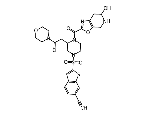 C#Cc1ccc2cc(S(=O)(=O)N3CCN(C(=O)c4nc5c(o4)CNC(O)C5)C(CC(=O)N4CCOCC4)C3)sc2c1